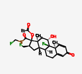 CCC(=O)O[C@]1(C(=O)SCF)[C@H](CF)C[C@H]2[C@@H]3CCC4=CC(=O)C=C[C@]4(C)[C@@]3(F)[C@@H](O)C[C@@]21C